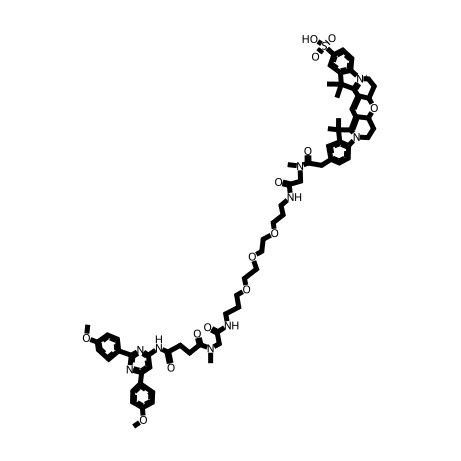 COc1ccc(-c2cc(NC(=O)CCC(=O)N(C)CC(=O)NCCCOCCOCCOCCCNC(=O)CN(C)C(=O)Cc3ccc4c(c3)C(C)(C)C3=C5C=C6C7=[N+](CCC6OC5CCN34)c3ccc(S(=O)(=O)O)cc3C7(C)C)nc(-c3ccc(OC)cc3)n2)cc1